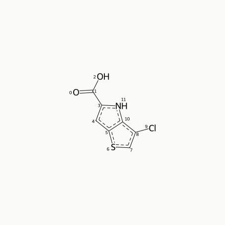 O=C(O)c1cc2scc(Cl)c2[nH]1